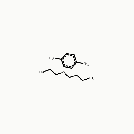 CCCCOCCO.Cc1ccc(C)cc1